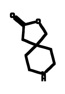 O=C1CC2(CCNCC2)CO1